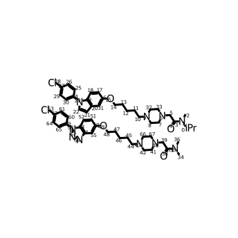 CC(C)N(C)C(=O)CN1CCN(CCCCCOc2ccc3c(ccn3-c3ccc(Cl)cc3)c2)CC1.CN(C)C(=O)CN1CCN(CCCCCOc2ccc3c(c2)nnn3-c2ccc(Cl)cc2)CC1